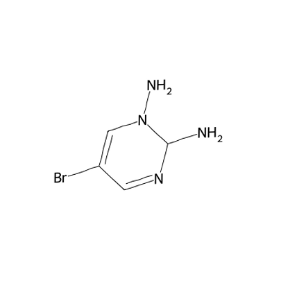 NC1N=CC(Br)=CN1N